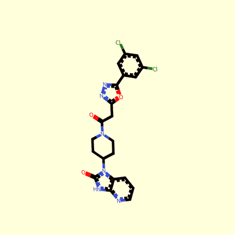 O=C(Cc1nnc(-c2cc(Cl)cc(Cl)c2)o1)N1CCC(n2c(=O)[nH]c3ncccc32)CC1